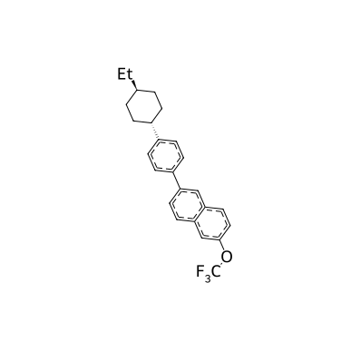 CC[C@H]1CC[C@H](c2ccc(-c3ccc4cc(OC(F)(F)F)ccc4c3)cc2)CC1